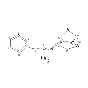 Cl.c1ccc(CON=C2CN3CCC2CC3)cc1